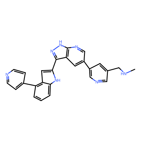 CNCc1cncc(-c2cnc3[nH]nc(-c4cc5c(-c6ccncc6)cccc5[nH]4)c3c2)c1